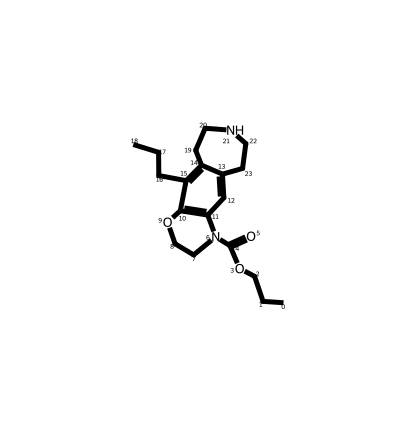 CCCOC(=O)N1CCOc2c1cc1c(c2CCC)CCNCC1